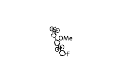 COc1cc(S(=O)(=O)c2cccc(F)c2)ccc1C1CCN(S(C)(=O)=O)C1